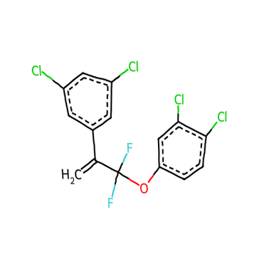 C=C(c1cc(Cl)cc(Cl)c1)C(F)(F)Oc1ccc(Cl)c(Cl)c1